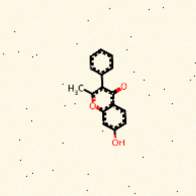 Cc1oc2cc(O)ccc2c(=O)c1-c1ccccc1